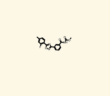 COC(=O)NC(=O)c1cccc(-c2noc(-c3ccc(C)cc3F)n2)c1